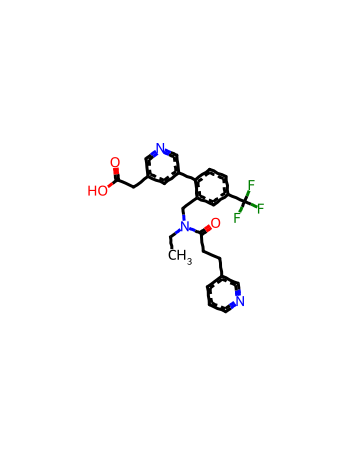 CCN(Cc1cc(C(F)(F)F)ccc1-c1cncc(CC(=O)O)c1)C(=O)CCc1cccnc1